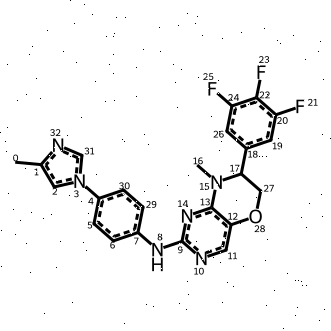 Cc1cn(-c2ccc(Nc3ncc4c(n3)N(C)C(c3cc(F)c(F)c(F)c3)CO4)cc2)cn1